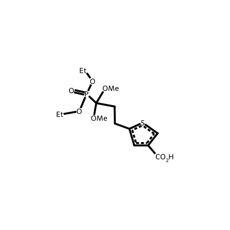 CCOP(=O)(OCC)C(CCc1cc(C(=O)O)cs1)(OC)OC